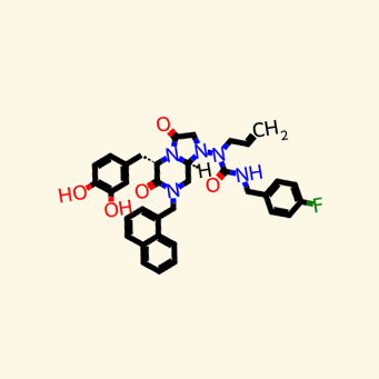 C=CCN(C(=O)NCc1ccc(F)cc1)N1CC(=O)N2[C@@H](Cc3ccc(O)c(O)c3)C(=O)N(Cc3cccc4ccccc34)C[C@@H]21